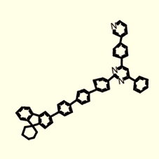 c1ccc(-c2cc(-c3ccc(-c4cccnc4)cc3)nc(-c3ccc(-c4ccc(-c5ccc(-c6ccc7c(c6)-c6ccccc6C76CCCCC6)cc5)cc4)cc3)n2)cc1